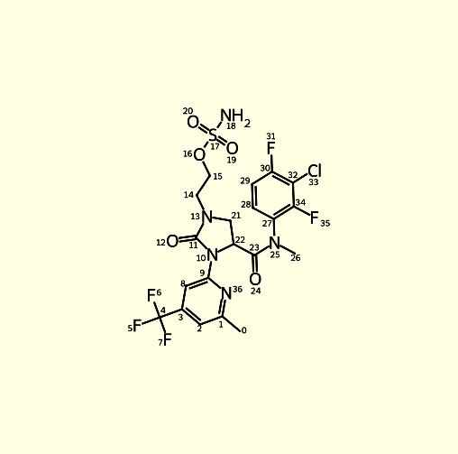 Cc1cc(C(F)(F)F)cc(N2C(=O)N(CCOS(N)(=O)=O)CC2C(=O)N(C)c2ccc(F)c(Cl)c2F)n1